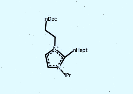 CCCCCCCCCCCC[n+]1ccn(C(C)C)c1CCCCCCC